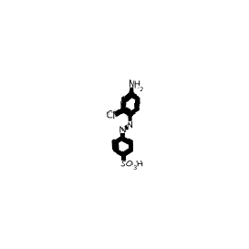 Nc1ccc(N=Nc2ccc(S(=O)(=O)O)cc2)c(Cl)c1